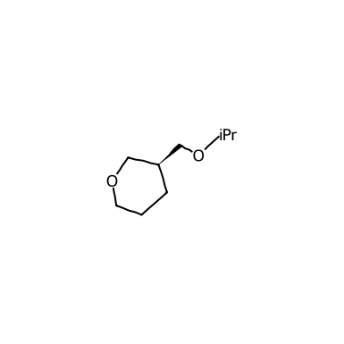 CC(C)OC[C@H]1CCCOC1